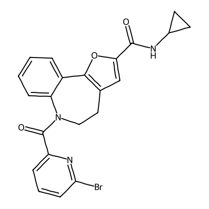 O=C(NC1CC1)c1cc2c(o1)-c1ccccc1N(C(=O)c1cccc(Br)n1)CC2